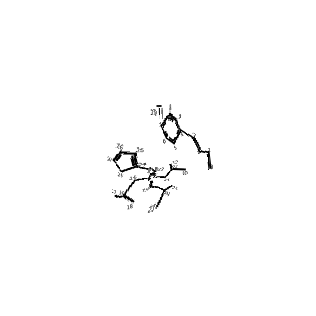 C=CC=Cc1ccccc1.CC(C)CP(CC(C)C)(CC(C)C)=NC1=CC=CC1.[Ti]